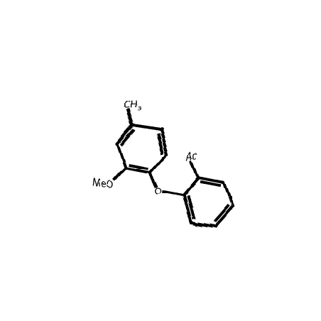 COc1cc(C)ccc1Oc1ccccc1C(C)=O